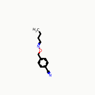 CCCC=NOCc1ccc(C#N)cc1